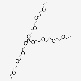 CCOCCOCCOCCOP(OCCOCCOCCOCC)OCCOCCOCCOCC